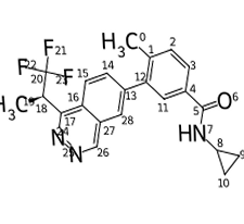 Cc1ccc(C(=O)NC2CC2)cc1-c1ccc2c([C@@H](C)C(F)(F)F)nncc2c1